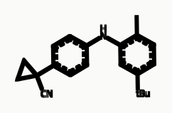 Cc1ccc(C(C)(C)C)cc1Nc1ccc(C2(C#N)CC2)cc1